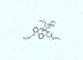 C=CCOc1cccc(C)c1-c1cccc([C@H](CC(=O)OC)NC(=O)[C@@H](CC=C)OS(C)(=O)=O)c1